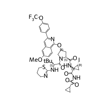 COc1ccc2c(O[C@@H]3C[C@@H](C(=O)N[C@]4(C(=O)NS(=O)(=O)C5CC5)C[C@H]4I)N(C(=O)[C@@H](NC4=NCCCS4)C(C)(C)C)C3)nc(-c3ccc(OC(F)(F)F)cc3)cc2c1